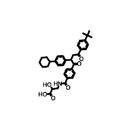 CC(C)(C)c1ccc(C(=O)CC(C(=O)c2ccc(C(=O)NCC(O)C(=O)O)cc2)c2ccc(C3CCCCC3)cc2)cc1